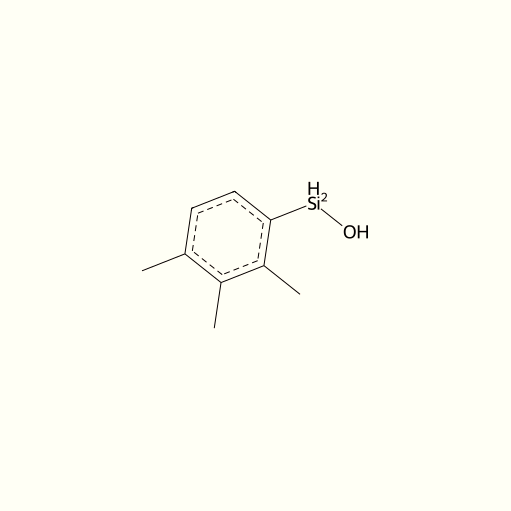 Cc1ccc([SiH2]O)c(C)c1C